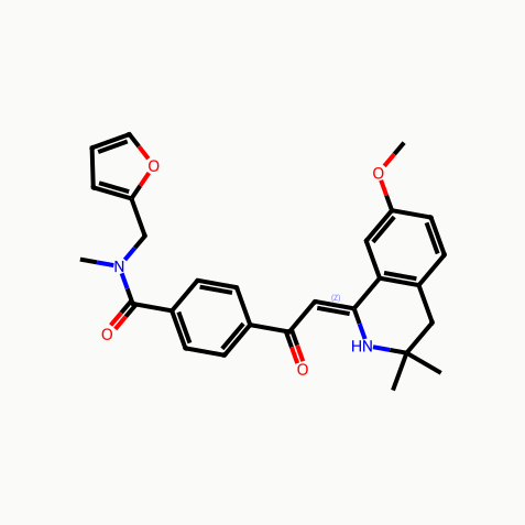 COc1ccc2c(c1)/C(=C/C(=O)c1ccc(C(=O)N(C)Cc3ccco3)cc1)NC(C)(C)C2